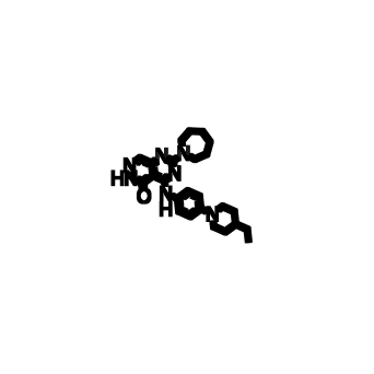 CCC1CCN(c2ccc(Nc3nc(N4CCCCCC4)nc4cn[nH]c(=O)c34)cc2)CC1